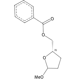 COC1CC[C@@H](COC(=O)c2ccccc2)O1